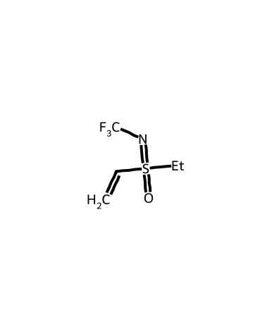 C=CS(=O)(CC)=NC(F)(F)F